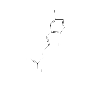 Br.Cc1cccc(/C=C/CSC(=N)N)c1